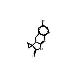 O=C1NC2=Nc3ccc(O)cc3CN2C12CC2